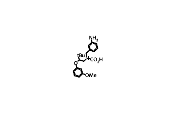 COc1cccc(OC(CN(Cc2cccc(N)c2)C(=O)O)C(C)(C)C)c1